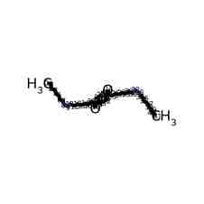 CCCCCCCC/C=C\CCCCCCCC(=O)N1CCN(C(=O)CCCCCCC/C=C\CCCCCCCC)CC1